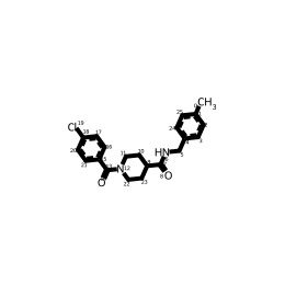 Cc1ccc(CNC(=O)C2CCN(C(=O)c3ccc(Cl)cc3)CC2)cc1